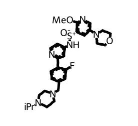 COc1ncc(N2CCOCC2)cc1[S+]([O-])Nc1ccnc(-c2ccc(CN3CCN(C(C)C)CC3)cc2F)c1